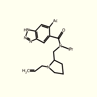 C=CCN1CCCC1CN(C(=O)c1cc2nn[nH]c2cc1C(C)=O)C(C)C